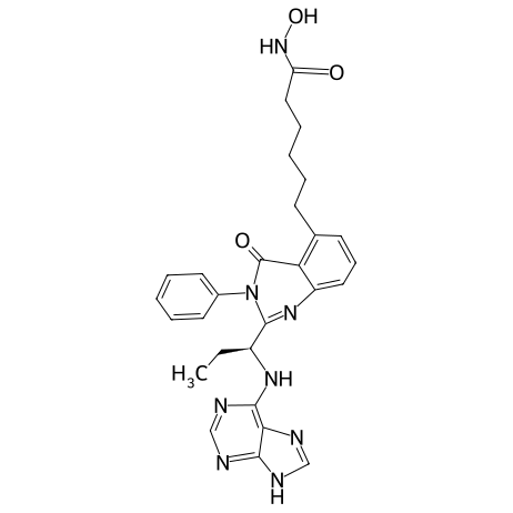 CC[C@H](Nc1ncnc2[nH]cnc12)c1nc2cccc(CCCCCC(=O)NO)c2c(=O)n1-c1ccccc1